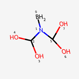 BN(C(O)O)C(O)O